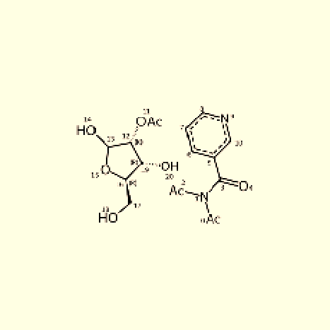 CC(=O)N(C(C)=O)C(=O)c1cccnc1.CC(=O)O[C@H]1C(O)O[C@H](CO)[C@H]1O